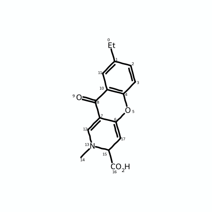 CCc1ccc2oc3c(c(=O)c2c1)=CN(C)C(C(=O)O)C=3